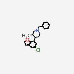 CC1CN(Cc2ccccc2)CCC1c1cc(Cl)cc2ccoc12